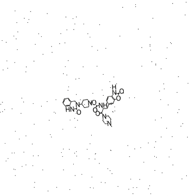 CN1CCN(C(=O)C(Cc2ccc3[nH]c(=O)oc3c2)NC(=O)ON2CCC(N3Cc4ccccc4NC3=O)CC2)CC1